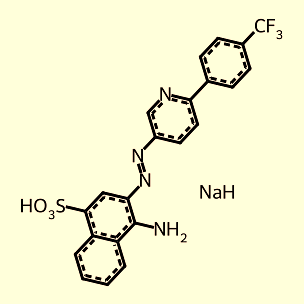 Nc1c(N=Nc2ccc(-c3ccc(C(F)(F)F)cc3)nc2)cc(S(=O)(=O)O)c2ccccc12.[NaH]